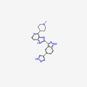 CN1CCC(c2nccc3[nH]c(-c4n[nH]c5ccc(-c6cn[nH]c6)cc45)nc23)CC1